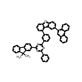 CC1(C)c2ccccc2-c2ccc(-c3nc(-c4ccccc4)nc(-c4cccc(-c5cccc6oc7ccc(-c8cc9ccccc9c9ccccc89)cc7c56)c4)n3)cc21